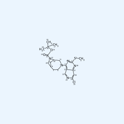 CSc1nc(N2CCC3CC(C2)N(C(=O)OC(C)(C)C)C3)c2cnc(Cl)cc2n1